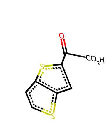 O=C(O)C(=O)c1cc2sccc2s1